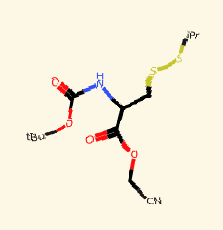 CC(C)SSCC(NC(=O)OC(C)(C)C)C(=O)OCC#N